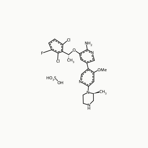 COc1cc(N2CCNC[C@@H]2C)ncc1-c1cnc(N)c(O[C@H](C)c2c(Cl)ccc(F)c2Cl)c1.O=S(=O)(O)O